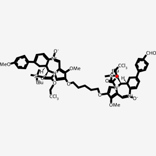 COC1=C2C=[N+]([O-])C3=CC=C(c4ccc(C=O)cc4)C[C@@H]3[C@H](O[Si](C)(C)C(C)(C)C)[N+]2(C(=O)OCC(Cl)(Cl)Cl)C=C1OCCCCCOC1=C[N+]2(C(=O)OCC(Cl)(Cl)Cl)C(=C1OC)C=[N+]([O-])C1=CC=C(c3ccc(OC)cc3)C[C@@H]1[C@@H]2O[Si](C)(C)C(C)(C)C